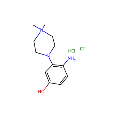 C[N+]1(C)CCN(c2cc(O)ccc2N)CC1.Cl.[Cl-]